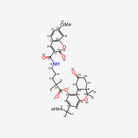 CCCCCCC(C)(C)c1cc(OC(=O)C(C)(C)CCCNC(=O)c2cc3ccc(OC)cc3oc2=O)c2c(c1)OC(C)(C)C1CCC(=O)CC21